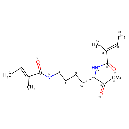 C/C=C(\C)C(=O)NCCCC[C@H](NC(=O)/C(C)=C/C)C(=O)OC